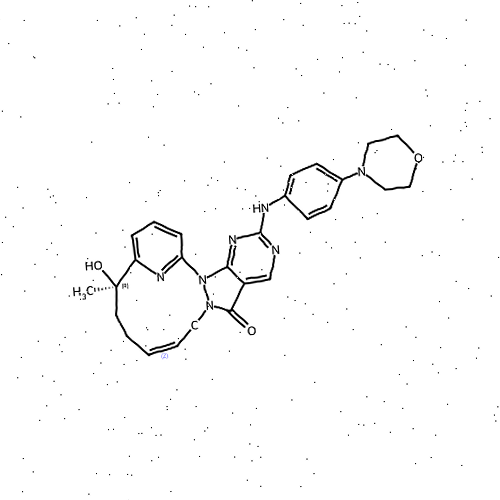 C[C@@]1(O)CC/C=C\Cn2c(=O)c3cnc(Nc4ccc(N5CCOCC5)cc4)nc3n2-c2cccc1n2